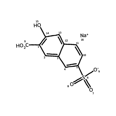 O=C(O)c1cc2cc(S(=O)(=O)[O-])ccc2cc1O.[Na+]